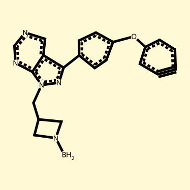 BN1CC(Cn2nc(-c3ccc(Oc4cc#ccc4)cc3)c3cncnc32)C1